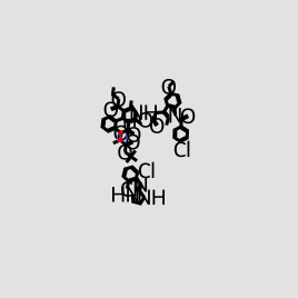 CCOC(=O)C1=C(C)NC(C)=C(C(=O)OCC)C1c1ccccc1/C=C/C(=O)OC(C)(C)C.COc1ccc2c(c1)c(CC(=O)O)c(C)n2C(=O)c1ccc(Cl)cc1.Clc1cccc(Cl)c1N=C1NCCN1